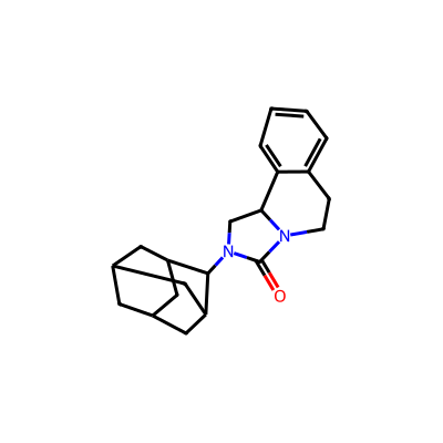 O=C1N2CCc3ccccc3C2CN1C1C2CC3CC(C2)CC1C3